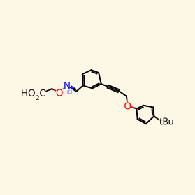 CC(C)(C)c1ccc(OCC#Cc2cccc(/C=N/OCC(=O)O)c2)cc1